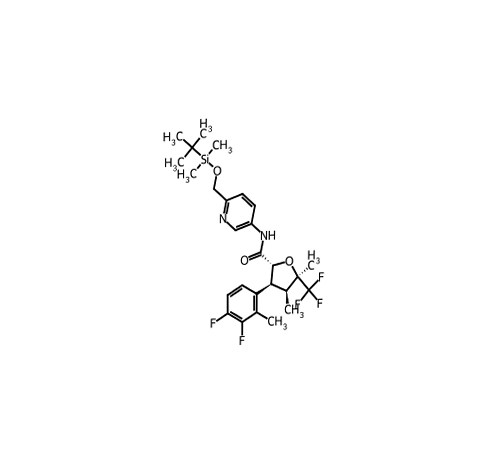 Cc1c([C@H]2[C@H](C(=O)Nc3ccc(CO[Si](C)(C)C(C)(C)C)nc3)O[C@@](C)(C(F)(F)F)[C@H]2C)ccc(F)c1F